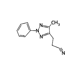 Cc1nn(-c2ccccc2)nc1CCC#N